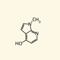 Cn1ccc2c(O)ccnc21